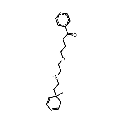 CC1(CCNCCOCCCC(=O)c2ccccc2)C=CC=CC1